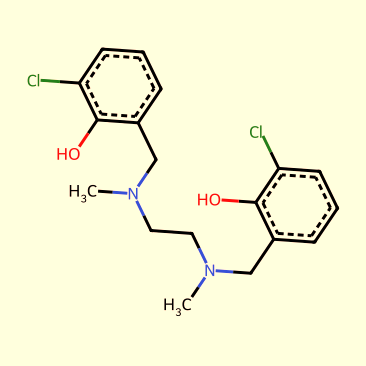 CN(CCN(C)Cc1cccc(Cl)c1O)Cc1cccc(Cl)c1O